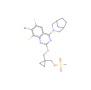 CS(=O)(=O)OCC1(COc2nc(N3CC4CCC(C4)C3)c3cc(F)c(Br)c(F)c3n2)CC1